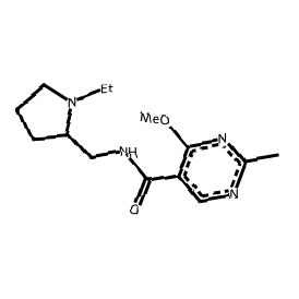 CCN1CCCC1CNC(=O)c1cnc(C)nc1OC